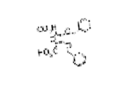 O=C(O)c1oc(C(=O)O)c(OCc2ccccc2)c1OCc1ccccc1